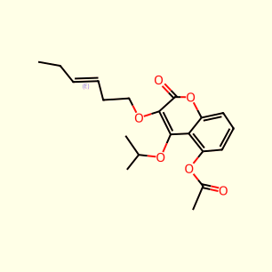 CC/C=C/CCOc1c(OC(C)C)c2c(OC(C)=O)cccc2oc1=O